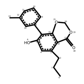 CCCc1cc(O)c(-c2cccc(C)c2)c2c1C(=O)OCO2